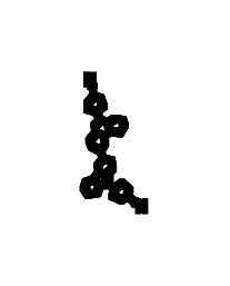 N#Cc1ccc(-c2cc3ccc(-c4ccc5c(c4)c4ccccc4n5-c4ccc(C#N)cc4)cc3c3ccccc23)cc1